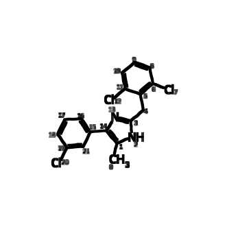 Cc1[nH]c(Cc2c(Cl)cccc2Cl)nc1-c1cccc(Cl)c1